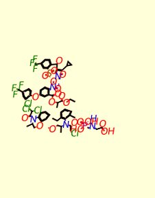 CC1COc2ccccc2N1C(=O)C(Cl)Cl.CCOC(=O)C(C)OC(=O)c1cc(Oc2ccc(C(F)(F)F)cc2Cl)ccc1[N+](=O)[O-].CCc1cccc(C)c1N(C(=O)CCl)C(C)COC.CS(=O)(=O)c1cc(C(F)(F)F)ccc1C(=O)c1cnoc1C1CC1.O=C(O)CNCP(=O)(O)O